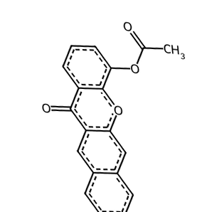 CC(=O)Oc1cccc2c(=O)c3cc4ccccc4cc3oc12